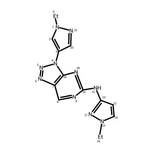 CCn1cc(-n2nnc3cnc(Nc4ccn(CC)n4)nc32)cn1